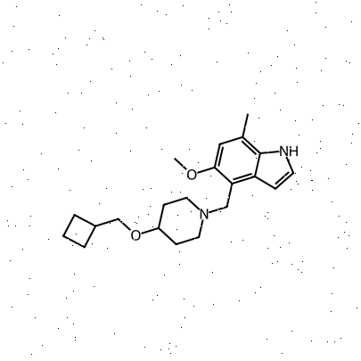 COc1cc(C)c2[nH]ccc2c1CN1CCC(OCC2CCC2)CC1